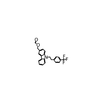 O=COCc1ccc2c(c1)c1ccccc1n2CCc1ccc(C(F)(F)F)cc1